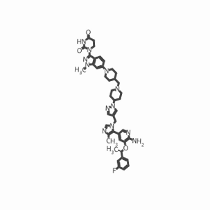 Cc1ncn(Cc2cnn(C3CCN(CC4CCN(c5ccc6c(N7CCC(=O)NC7=O)nn(C)c6c5)CC4)CC3)c2)c1-c1cnc(N)c(O[C@H](C)c2cccc(F)c2)c1